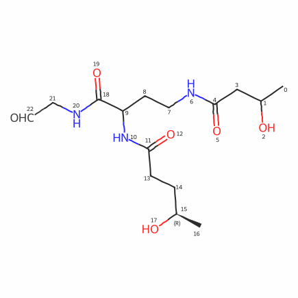 CC(O)CC(=O)NCCC(NC(=O)CC[C@@H](C)O)C(=O)NCC=O